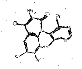 CC(C)c1ncnc(C(C)C)c1-n1c(=O)c([N+](=O)[O-])c(Cl)c2cc(Cl)c(Br)c(F)c21